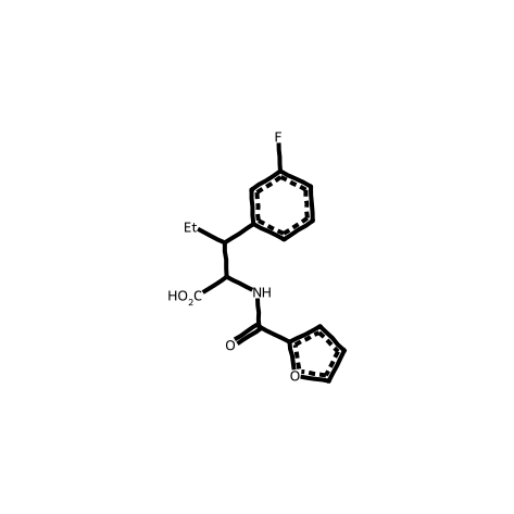 CCC(c1cccc(F)c1)C(NC(=O)c1ccco1)C(=O)O